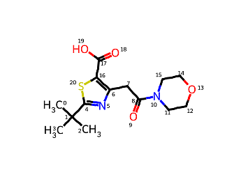 CC(C)(C)c1nc(CC(=O)N2CCOCC2)c(C(=O)O)s1